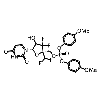 COc1ccc(OP(=O)(OC[C@]2(C(F)F)O[C@H](n3ccc(=O)[nH]c3=O)C(O)C2(F)F)Oc2ccc(OC)cc2)cc1